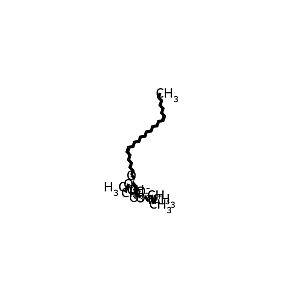 CCCCCC/C=C\CCCCCCCCCC/C=C\CCCCCOC[C@H](COP(=O)([O-])OCC[N+](C)(C)C)OC(C)(C)C